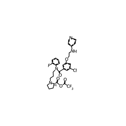 O=C(OC(=O)C(F)(F)F)[C@H]1CCCN1CCCN(C(=O)c1cc(Cl)cc(OCCNc2ccncc2)c1)c1ccccc1F